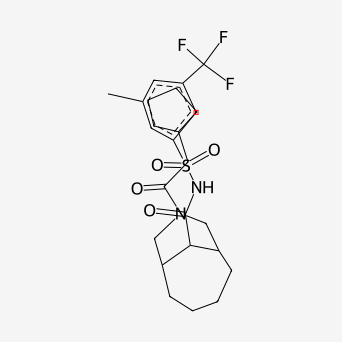 Cc1cc(C(F)(F)F)cc(S(=O)(=O)NC(=O)C2C3CCCCC2CN(C(=O)CC2CCCC2)C3)c1